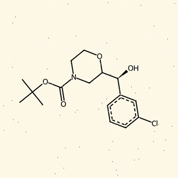 CC(C)(C)OC(=O)N1CCOC([C@@H](O)c2cccc(Cl)c2)C1